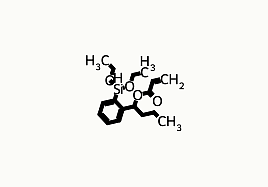 C=CC(=O)OC(CCC)c1ccccc1[SiH](OCC)OCC